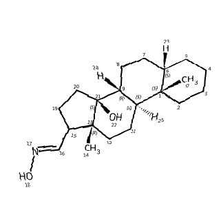 C[C@]12CCCC[C@H]1CC[C@@H]1[C@@H]2CC[C@]2(C)C(C=NO)CC[C@]12O